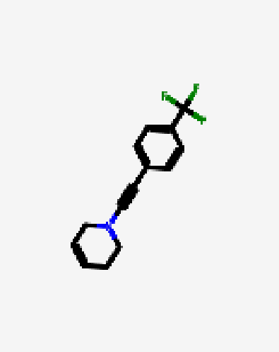 FC(F)(F)c1ccc(C#CN2CC=CCC2)cc1